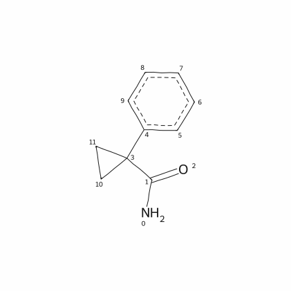 NC(=O)C1(c2ccccc2)CC1